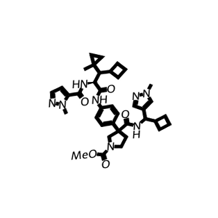 COC(=O)N1CCC(C(=O)NC(c2cnn(C)c2)C2CCC2)(c2ccc(NC(=O)[C@@H](NC(=O)c3ccnn3C)C(C3CCC3)C3(C)CC3)cc2)C1